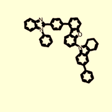 C1=Cc2c(n(-c3cccc4c3oc3cccc(-c5ccc(-c6nc7ccccc7n6-c6ccccc6)cc5)c34)c3ccc(-c4ccccc4)cc23)CC1